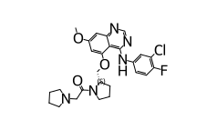 COc1cc(OC[C@@H]2CCCN2C(=O)CN2CCCC2)c2c(Nc3ccc(F)c(Cl)c3)ncnc2c1